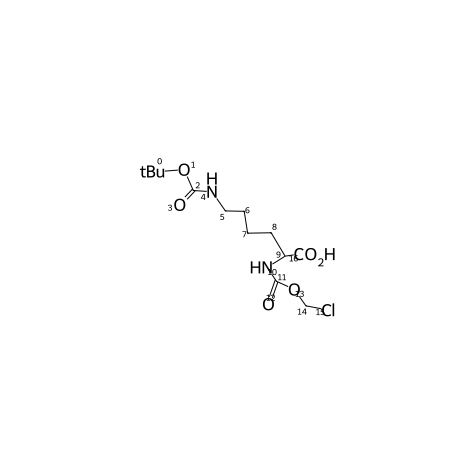 CC(C)(C)OC(=O)NCCCCC(NC(=O)OCCl)C(=O)O